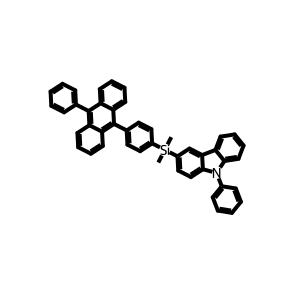 C[Si](C)(c1ccc(-c2c3ccccc3c(-c3ccccc3)c3ccccc23)cc1)c1ccc2c(c1)c1ccccc1n2-c1ccccc1